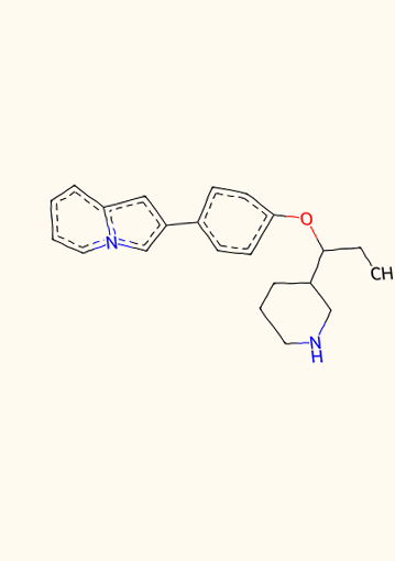 CCC(Oc1ccc(-c2cc3ccccn3c2)cc1)C1CCCNC1